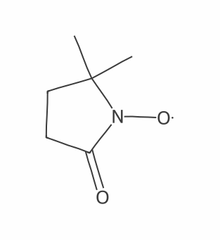 CC1(C)CCC(=O)N1[O]